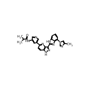 Cc1cn(-c2cccc3[nH]c(-c4n[nH]c5ccc(-c6cncc(NC(=O)C(C)C)c6)nc45)nc23)cn1